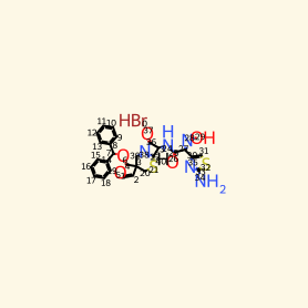 Br.C=CC1(C(=O)OC(c2ccccc2)c2ccccc2)CS[C@@H]2C(NC(=O)C(=NO)c3csc(N)n3)C(=O)N2C1